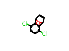 Clc1ccc(Cl)c2c1C1C=CC2O1